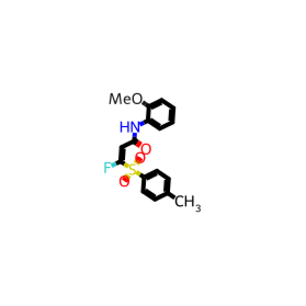 COc1ccccc1NC(=O)C=C(F)S(=O)(=O)c1ccc(C)cc1